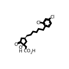 O=C(O)C[C@]1(O)C[C@H](CCCCCCc2ccc(Cl)cc2Cl)CC1=O